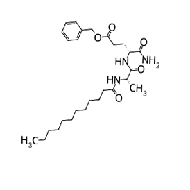 CCCCCCCCCCCC(=O)N[C@@H](C)C(=O)N[C@H](CCC(=O)OCc1ccccc1)C(N)=O